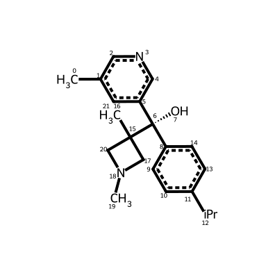 Cc1cncc([C@@](O)(c2ccc(C(C)C)cc2)C2(C)CN(C)C2)c1